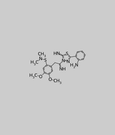 COc1cc(CC(=N)n2nc(-c3ccccc3N)sc2=N)c(SN(C)C)cc1OC